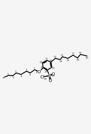 CCCCCCCCOc1ccc(CCCCCCCC)cc1S(=O)(=O)Cl